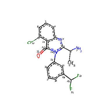 CC(N)c1nc2cccc(Cl)c2c(=O)n1-c1cccc(C(F)F)c1